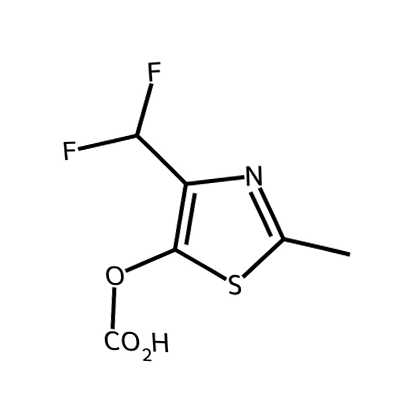 Cc1nc(C(F)F)c(OC(=O)O)s1